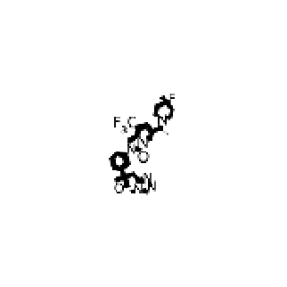 C[C@H](c1cc(C(F)(F)F)c2cn(-c3cccc(C4(Cc5nncn5C)COC4)c3)c(=O)n2c1)N1CCC(C)(F)CC1